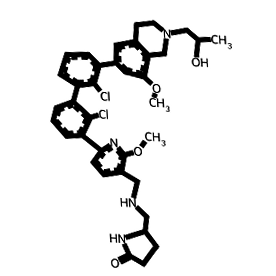 COc1cc(-c2cccc(-c3cccc(-c4ccc(CNCC5CCC(=O)N5)c(OC)n4)c3Cl)c2Cl)cc2c1CN(CC(C)O)CC2